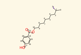 CC(I)CCCCCCCCOC(=O)c1ccc(O)cc1